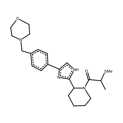 CSC(C)C(=O)N1CCCCC1c1nc(-c2ccc(CN3CCOCC3)cc2)c[nH]1